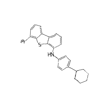 CC(C)c1cccc2c1sc1c(Nc3ccc(C4CCCCC4)cc3)cccc12